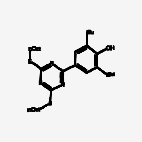 CCCCCCCCSc1nc(SCCCCCCCC)nc(-c2cc(C(C)(C)C)c(O)c(C(C)(C)C)c2)n1